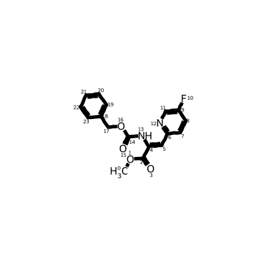 COC(=O)C(=Cc1ccc(F)cn1)NC(=O)OCc1ccccc1